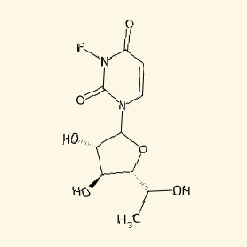 CC(O)[C@H]1OC(n2ccc(=O)n(F)c2=O)[C@@H](O)[C@@H]1O